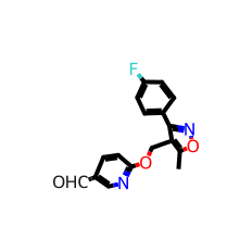 Cc1onc(-c2ccc(F)cc2)c1COc1ccc(C=O)cn1